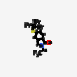 CC(C)[Si](Sc1ccc2c(c1)CN(CC(F)(F)F)C2=O)(C(C)C)C(C)C